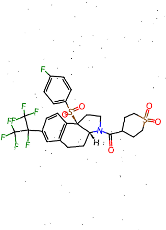 O=C(C1CCS(=O)(=O)CC1)N1CC[C@@]2(S(=O)(=O)c3ccc(F)cc3)c3ccc(C(F)(C(F)(F)F)C(F)(F)F)cc3CC[C@@H]12